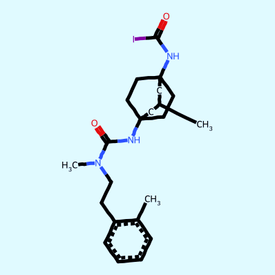 Cc1ccccc1CCN(C)C(=O)NC12CCC(NC(=O)I)(CC1)CC(C)C2